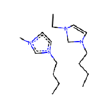 CCCCN1C=CN(CC)C1.CCCCn1cc[n+](C)c1